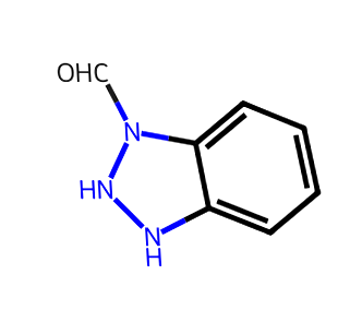 O=CN1NNc2ccccc21